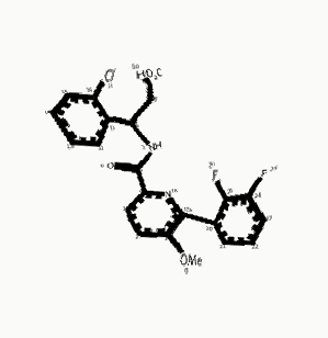 COc1ccc(C(=O)NC(CC(=O)O)c2ccccc2Cl)nc1-c1cccc(F)c1F